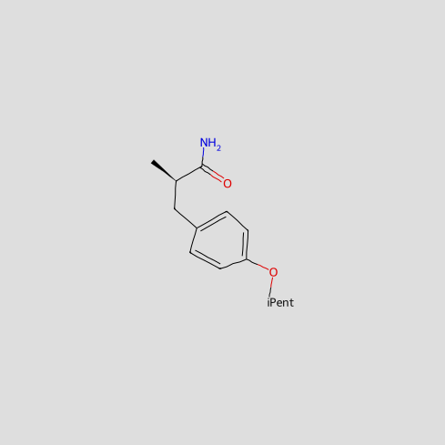 CCCC(C)Oc1ccc(C[C@@H](C)C(N)=O)cc1